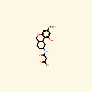 CCCCCc1cc(O)c2c(c1)OCC1CCC(NC(=O)CC(=O)CC)CC21